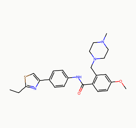 CCc1nc(-c2ccc(NC(=O)c3ccc(OC)cc3CN3CCN(C)CC3)cc2)cs1